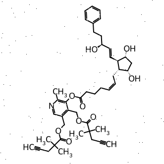 C#CCC(C)(C)C(=O)OCc1cnc(C)c(OC(=O)CCC/C=C\C[C@@H]2[C@@H](/C=C/[C@@H](O)CCc3ccccc3)[C@H](O)C[C@@H]2O)c1COC(=O)C(C)(C)CC#C